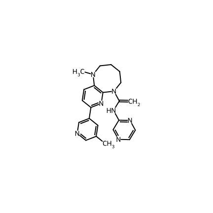 C=C(Nc1cnccn1)N1CCCCN(C)c2ccc(-c3cncc(C)c3)nc21